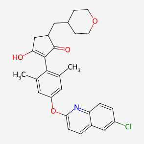 Cc1cc(Oc2ccc3cc(Cl)ccc3n2)cc(C)c1C1=C(O)CC(CC2CCOCC2)C1=O